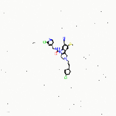 CSc1cc2c3c(n(C(=O)NCc4ccnc(Cl)c4)c2cc1C#N)CCN(CC=Cc1ccc(Cl)cc1)C3